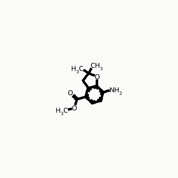 COC(=O)c1ccc(N)c2c1CC(C)(C)O2